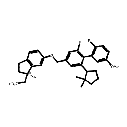 COc1ccc(F)c(-c2c(F)cc(COc3ccc4c(c3)[C@@](C)(CC(=O)O)CC4)cc2C2CCCC2(C)C)c1